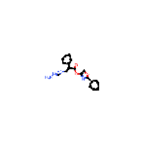 NN=CNC=C(C(=O)Oc1coc(-c2ccccc2)n1)c1ccccc1